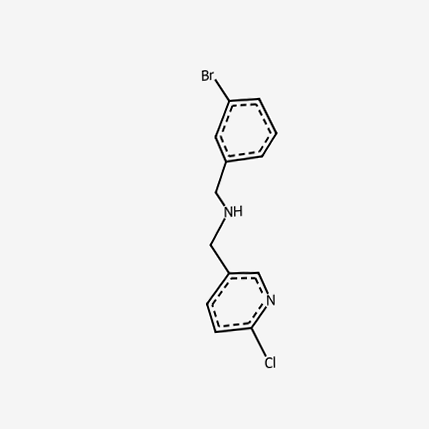 Clc1ccc(CNCc2cccc(Br)c2)cn1